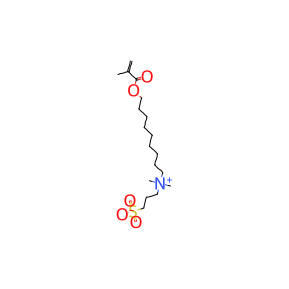 C=C(C)C(=O)OCCCCCCCCC[N+](C)(C)CCCS(=O)(=O)[O-]